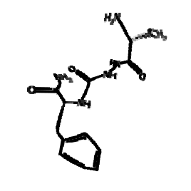 C[C@@H](N)C(=O)NNC(=O)N[C@@H](Cc1ccccc1)C(N)=O